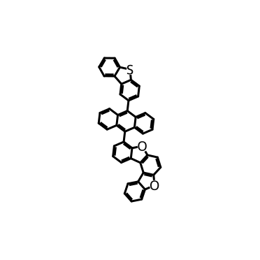 c1ccc2c(c1)oc1ccc3oc4c(-c5c6ccccc6c(-c6ccc7sc8ccccc8c7c6)c6ccccc56)cccc4c3c12